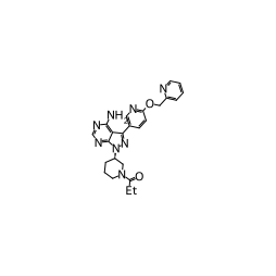 CCC(=O)N1CCC[C@@H](n2nc(-c3ccc(OCc4ccccn4)nc3)c3c(N)ncnc32)C1